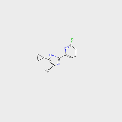 Cc1nc(-c2cccc(Cl)n2)[nH]c1C1CC1